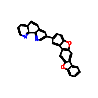 c1cnc2c(c1)ccc1cc(-c3ccc4oc5cc6c(cc5c4c3)oc3ccccc36)cnc12